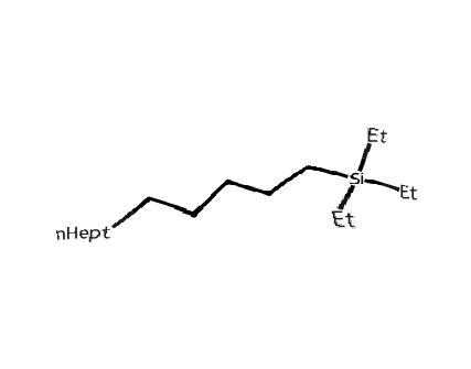 [CH2]CCCCCCCCCCC[Si](CC)(CC)CC